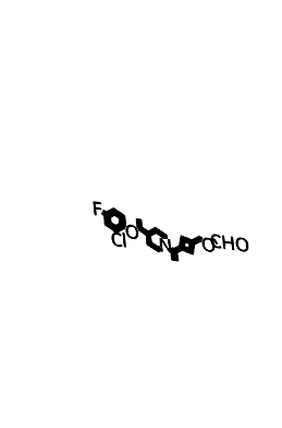 C=C(C1CC(COC=O)C1)N1CCC(C(C)Oc2ccc(F)cc2Cl)CC1